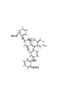 C=C/C=C(\C(=C/C)S(=O)(=O)O)c1c2cc/c(=N\c3ccccc3SC)cc-2oc2cc(Nc3ccccc3SC)ccc12